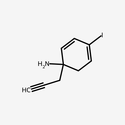 C#CCC1(N)C=CC(I)=CC1